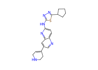 C1=C(c2cnc3ccc(Nc4nnc(C5CCCC5)s4)nc3c2)CCNC1